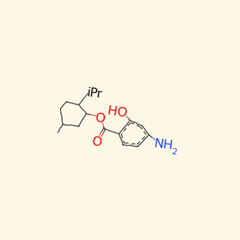 CC1CCC(C(C)C)C(OC(=O)c2ccc(N)cc2O)C1